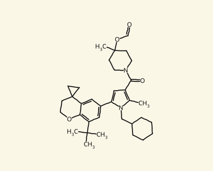 Cc1c(C(=O)N2CCC(C)(OC=O)CC2)cc(-c2cc(C(C)(C)C)c3c(c2)C2(CCO3)CC2)n1CC1CCCCC1